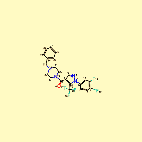 O=C(c1cnn(-c2ccc(F)c(F)c2)c1C(F)(F)F)N1CCN(Cc2ccccc2)CC1